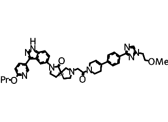 COCCn1cnc(-c2ccc(C3=CCN(C(=O)CN4CC[C@]5(CCN(c6ccc7[nH]nc(-c8ccc(OC(C)C)nc8)c7c6)C5=O)C4)CC3)cc2)n1